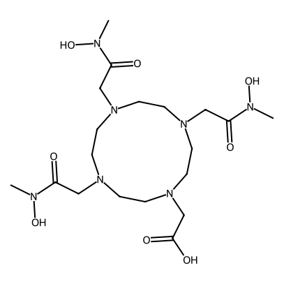 CN(O)C(=O)CN1CCN(CC(=O)O)CCN(CC(=O)N(C)O)CCN(CC(=O)N(C)O)CC1